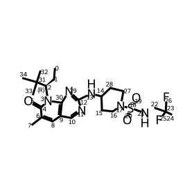 CC[C@@H](n1c(=O)c(C)cc2cnc(NC3CCN(S(=O)(=O)NCC(C)(F)F)CC3)nc21)C(C)(C)C